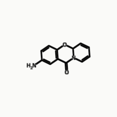 Nc1ccc2c(c1)C(=O)N1C=CC=CC1O2